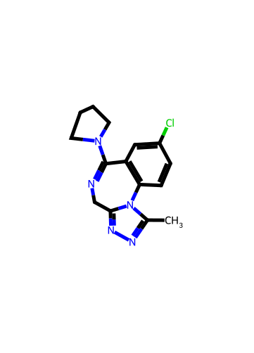 Cc1nnc2n1-c1ccc(Cl)cc1C(N1CCCC1)=NC2